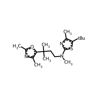 Cc1nc(C)c(C(C)(C)CCN(C)c2nc(C)c(C(C)(C)C)s2)o1